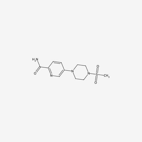 CS(=O)(=O)N1CCN(c2ccc(C(N)=O)nc2)CC1